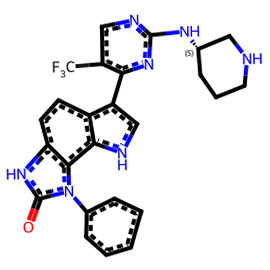 O=c1[nH]c2ccc3c(-c4nc(N[C@H]5CCCNC5)ncc4C(F)(F)F)c[nH]c3c2n1-c1ccccc1